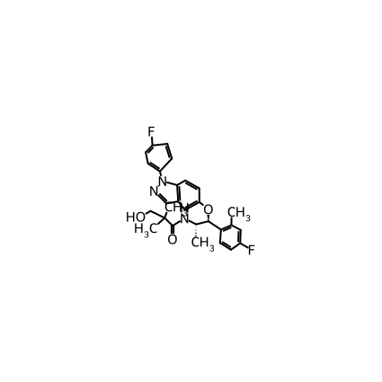 Cc1cc(F)ccc1[C@H](Oc1ccc2c(cnn2-c2ccc(F)cc2)c1)[C@H](C)NC(=O)C(C)(C)CO